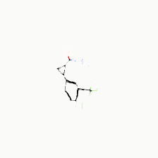 NC(=O)C1CC1c1ccc(Cl)c(C(F)(F)F)c1